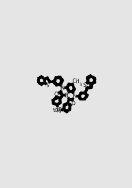 Cc1cc2c3c(c1)N(c1cccc(-c4cc5ccccc5s4)c1)c1oc4ccc(C(C)(C)C)cc4c1B3c1c(oc3ccc(C(C)(C)C)cc13)N2c1cccc(-c2cc3ccccc3s2)c1